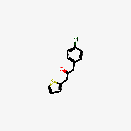 O=C(Cc1ccc(Cl)cc1)Cc1cccs1